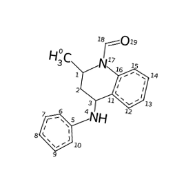 CC1CC(Nc2ccccc2)c2ccccc2N1C=O